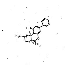 C=C1Oc2cc(-c3ccccc3)cc(O)c2[C@@H]2C=C(C)CC[C@@H]12